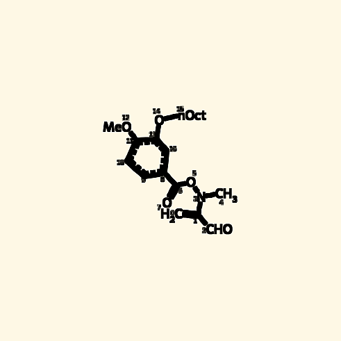 C=C(C=O)N(C)OC(=O)c1ccc(OC)c(OCCCCCCCC)c1